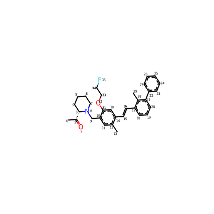 CC(=O)[C@@H]1CCCCN1Cc1cc(C)c(/C=C/c2cccc(-c3ccccc3)c2C)cc1OCCF